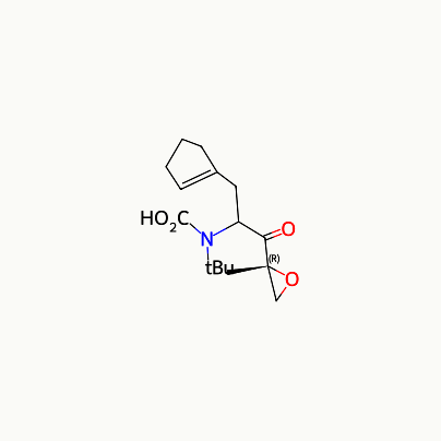 CC(C)(C)N(C(=O)O)C(CC1=CCCC1)C(=O)[C@@]1(C)CO1